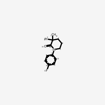 CC(C)C1(C)CCCN(c2ccc(F)cc2)C1=O